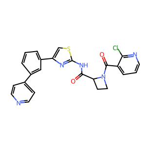 O=C(Nc1nc(-c2cccc(-c3ccncc3)c2)cs1)C1CCN1C(=O)c1cccnc1Cl